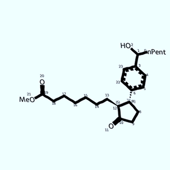 CCCCCC(O)c1ccc([C@@H]2CCC(=O)[C@H]2CCCCCCC(=O)OC)cc1